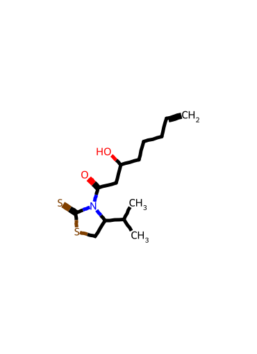 C=CCCCC(O)CC(=O)N1C(=S)SCC1C(C)C